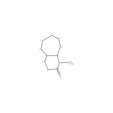 CN1C(=S)CCC2CCCCCC21